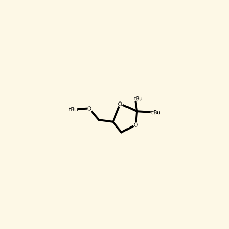 CC(C)(C)OCC1COC(C(C)(C)C)(C(C)(C)C)O1